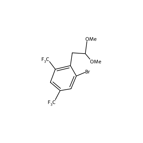 COC(Cc1c(Br)cc(C(F)(F)F)cc1C(F)(F)F)OC